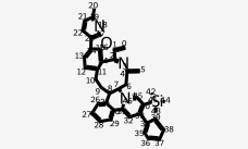 C=C/C1=N/C(=C)CC2C(CCc3ccc4c(oc5nc(C)ccc54)c31)c1ccccc1-c1cc(-c3ccccc3)c([Si](C)(C)C)c[n+]12